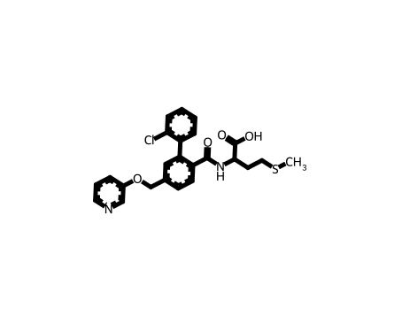 CSCCC(NC(=O)c1ccc(COc2cccnc2)cc1-c1ccccc1Cl)C(=O)O